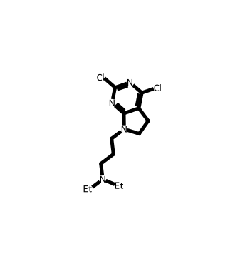 CCN(CC)CCCN1CCc2c(Cl)nc(Cl)nc21